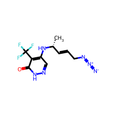 C[C@H](/C=C/CN=[N+]=[N-])Nc1cn[nH]c(=O)c1C(F)(F)F